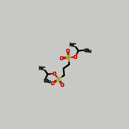 CC(C)(C)C(C#N)OS(=O)(=O)CCCS(=O)(=O)OC(C#N)C(C)(C)C